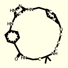 CC1(C)CCNC(=O)c2ccc(cc2)Nc2cc(n[nH]2)NCc2ccc(cc2)OCCCN1